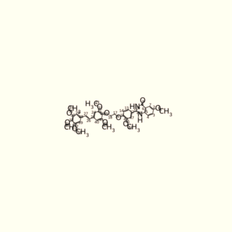 COc1ccc2c(c1)C(=O)NC(c1ccc(OCCOc3c(OC)cc(/C=C/c4cc(OC)c(OC)c(OC)c4)cc3OC)c(OC)c1)N2